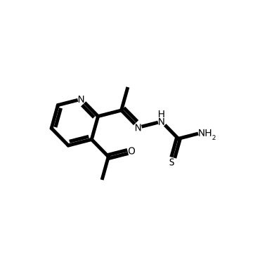 CC(=O)c1cccnc1C(C)=NNC(N)=S